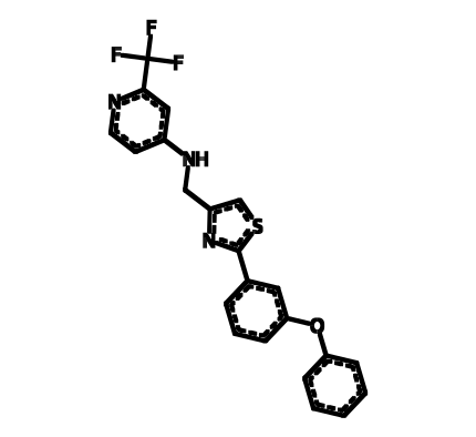 FC(F)(F)c1cc(NCc2csc(-c3cccc(Oc4ccccc4)c3)n2)ccn1